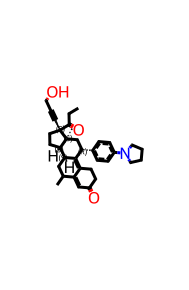 CCC(=O)[C@@]1(C#CCO)CC[C@H]2[C@@H]3CC(C)C4=CC(=O)CCC4=C3[C@@H](c3ccc(N4CCCC4)cc3)C[C@@]21C